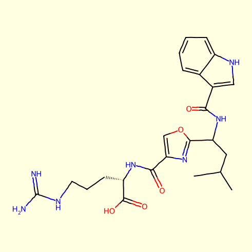 CC(C)CC(NC(=O)c1c[nH]c2ccccc12)c1nc(C(=O)N[C@@H](CCCNC(=N)N)C(=O)O)co1